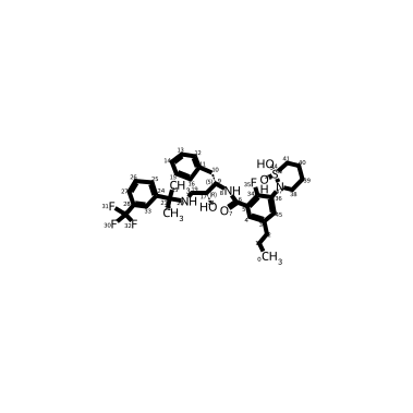 CCCc1cc(C(=O)N[C@@H](Cc2ccccc2)[C@H](O)CNC(C)(C)c2cccc(C(F)(F)F)c2)c(F)c(N2CCCCS2(O)O)c1